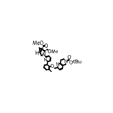 COC[C@H]1N(c2cccc(-c3cccc(C)c3OCc3ccc4c(n3)CCN(C(=O)OC(C)(C)C)C4)n2)C[C@@H]2C[C@@]21C(=O)OC